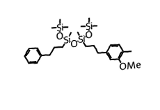 COc1cc(CCC[Si](C)(O[Si](C)(C)C)O[Si](C)(CCCc2ccccc2)O[Si](C)(C)C)ccc1C